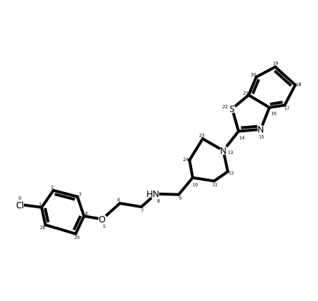 Clc1ccc(OCCNCC2CCN(c3nc4ccccc4s3)CC2)cc1